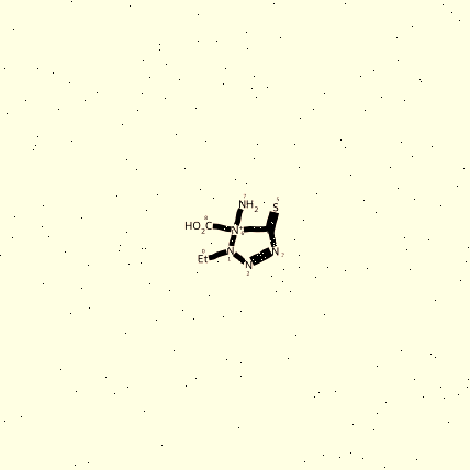 CCN1N=NC(=S)[N+]1(N)C(=O)O